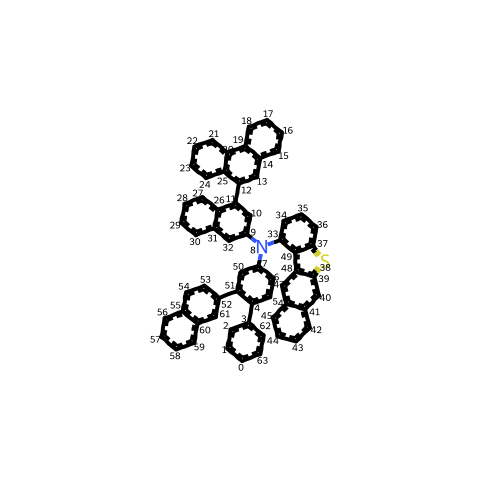 c1ccc(-c2ccc(N(c3cc(-c4cc5ccccc5c5ccccc45)c4ccccc4c3)c3cccc4sc5cc6ccccc6cc5c34)cc2-c2ccc3ccccc3c2)cc1